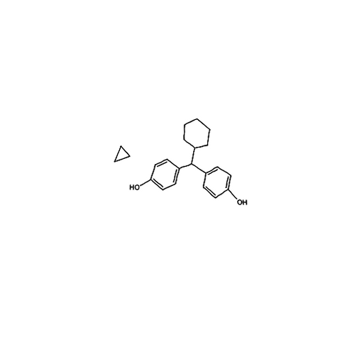 C1CC1.Oc1ccc(C(c2ccc(O)cc2)C2CCCCC2)cc1